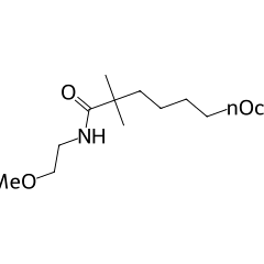 CCCCCCCCCCCCC(C)(C)C(=O)NCCOC